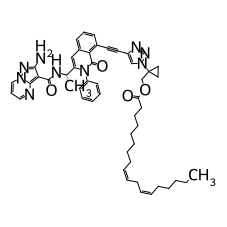 CCCCC/C=C\C/C=C\CCCCCCCC(=O)OCC1(n2cc(C#Cc3cccc4cc([C@H](C)NC(=O)c5c(N)nn6cccnc56)n(-c5ccccc5)c(=O)c34)nn2)CC1